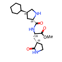 COC(=O)[C@H](C[C@@H]1CCNC1=O)NC(=O)[C@@H]1C[C@@H](C2CCCCC2)CN1